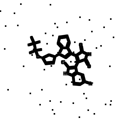 CC(C)(C)[Si](C)(C)O[C@@H]1C=C[C@H](n2cc(C3=C(c4c(Cl)[nH]c5ccc(Br)cc45)C(=O)NC3=O)c3ccccc32)C1